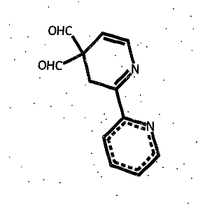 O=CC1(C=O)C=CN=C(c2ccccn2)C1